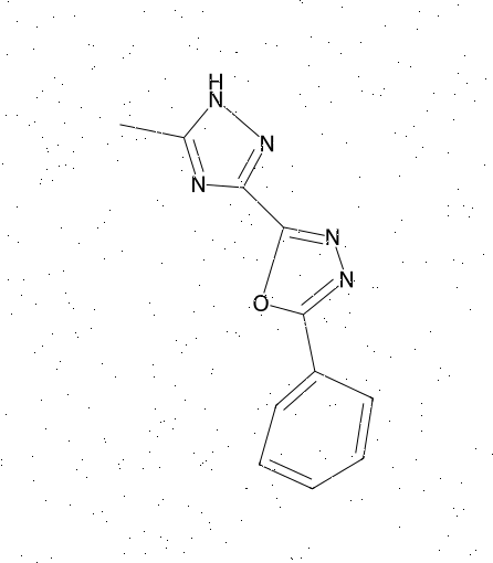 Cc1nc(-c2nnc(-c3ccccc3)o2)n[nH]1